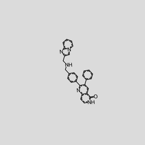 O=c1[nH]ccc2nc(-c3ccc(CNCc4cn5ccccc5n4)cc3)c(-c3ccccc3)cc12